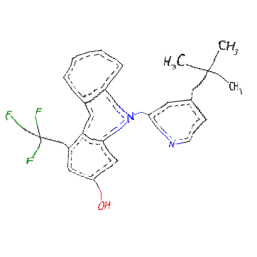 CC(C)(C)c1ccnc(-n2c3ccccc3c3c(C(F)(F)F)cc(O)cc32)c1